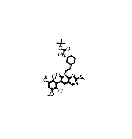 COc1cc(OC)c(Cl)c(-c2cc3cnc(SC)nc3n(CCN3CCC[C@@H](NC(=O)OC(C)(C)C)C3)c2=O)c1Cl